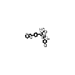 CCOP(=O)(c1ccc(Cl)cc1)N(C)c1cc(-c2ccc(-c3cc4ncccc4o3)cc2)sc1C(=O)O